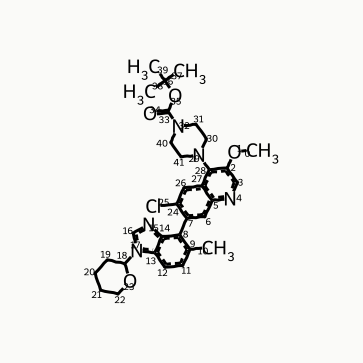 COc1cnc2cc(-c3c(C)ccc4c3ncn4C3CCCCO3)c(Cl)cc2c1N1CCN(C(=O)OC(C)(C)C)CC1